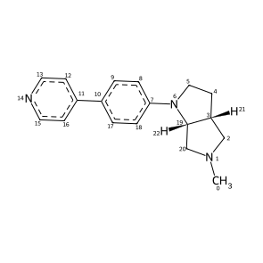 CN1C[C@H]2CCN(c3ccc(-c4ccncc4)cc3)[C@H]2C1